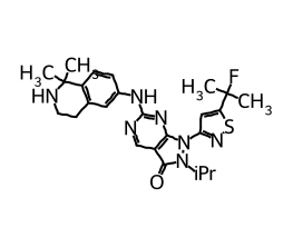 CC(C)n1c(=O)c2cnc(Nc3ccc4c(c3)CCNC4(C)C)nc2n1-c1cc(C(C)(C)F)sn1